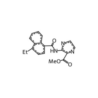 CCc1ccc(C(=O)Nc2nccnc2C(=O)OC)c2ccccc12